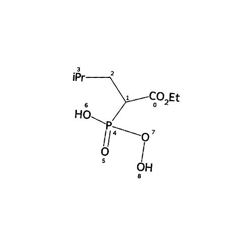 CCOC(=O)C(CC(C)C)P(=O)(O)OO